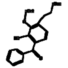 CCCCCCCCCCCCc1ccc(C(=O)c2ccccc2)c(O)c1OCCCCCCCC